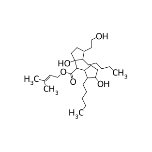 CCCCCC1C(O)CCC1C(C(=O)OCC=C(C)C)C1(O)CCC(CCO)C1CCCCC